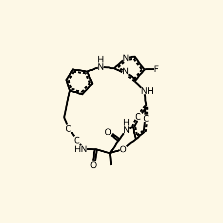 CC12Oc3ccc(cc3NC1=O)Nc1nc(ncc1F)Nc1ccc(cc1)CCCNC2=O